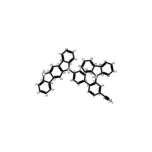 N#Cc1ccc(-c2ccc(-n3c4ccccc4c4cc5oc6ccccc6c5cc43)cc2)c(-n2c3ccccc3c3ccccc32)c1